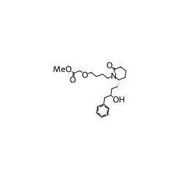 COC(=O)COCCCCN1C(=O)CCC[C@@H]1CCC(O)Cc1ccccc1